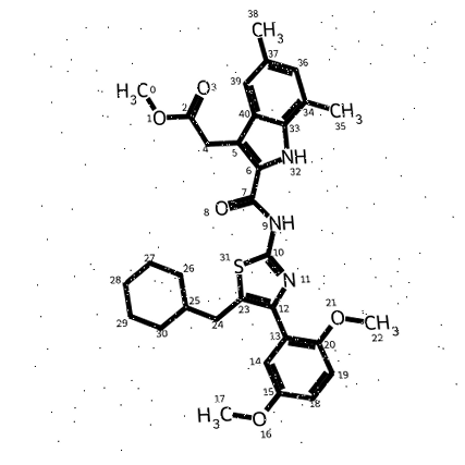 COC(=O)Cc1c(C(=O)Nc2nc(-c3cc(OC)ccc3OC)c(CC3CCCCC3)s2)[nH]c2c(C)cc(C)cc12